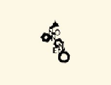 CCC1(CN2CCC(n3c(=O)n(CC4CC4)c4ccccc43)CC2)CCCCCCC1